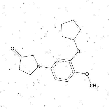 COc1ccc(N2CCC(=O)C2)cc1OC1CCCC1